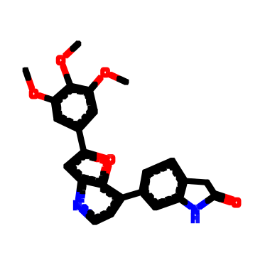 COc1cc(-c2cc3nccc(-c4ccc5c(c4)NC(=O)C5)c3o2)cc(OC)c1OC